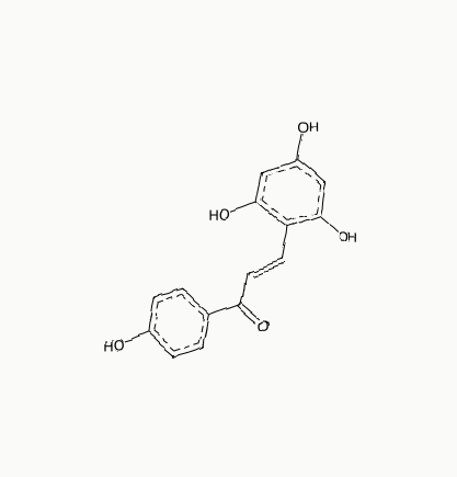 O=C(/C=C/c1c(O)cc(O)cc1O)c1ccc(O)cc1